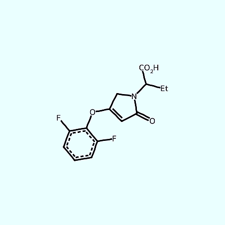 CCC(C(=O)O)N1CC(Oc2c(F)cccc2F)=CC1=O